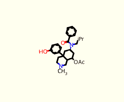 CC(=O)OC1C[C@H](N(CC(C)C)C(=O)c2ccccc2)CC2(c3cccc(O)c3)CCN(C)CC12